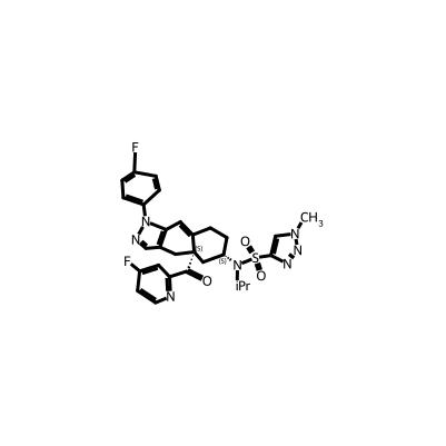 CC(C)N([C@H]1CCC2=Cc3c(cnn3-c3ccc(F)cc3)C[C@]2(C(=O)c2cc(F)ccn2)C1)S(=O)(=O)c1cn(C)nn1